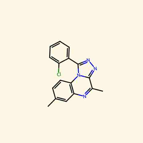 Cc1ccc2c(c1)nc(C)c1nnc(-c3ccccc3Cl)n12